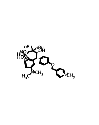 CCCCC1(CCCC)CS([O-])(O)(O)(O)c2ccc(N(C)C)cc2[C@@H](c2ccc(OCc3cc[n+](C)cc3)cc2)[C@H]1O